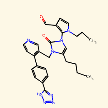 CCCCc1cn(-c2c(C=O)ccn2CCC)c(=O)n1Cc1cnccc1-c1ccc(-c2nnn[nH]2)cc1